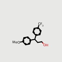 COc1ccc(C(CCO)c2ccc(C(F)(F)F)cc2)cc1